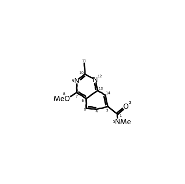 CNC(=O)c1ccc2c(OC)nc(C)nc2c1